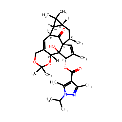 CC1=C[C@]23C(=O)[C@@H](C=C4COC(C)(C)O[C@H]4C2(O)[C@H]1OC(=O)c1c(C)nn(C(C)C)c1C)[C@H]1[C@@H](C[C@H]3C)C1(C)C